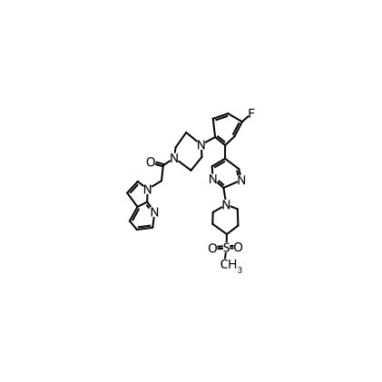 CS(=O)(=O)C1CCN(c2ncc(-c3cc(F)ccc3N3CCN(C(=O)Cn4ccc5cccnc54)CC3)cn2)CC1